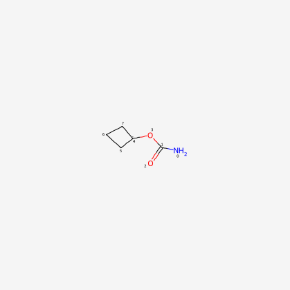 NC(=O)O[C]1CCC1